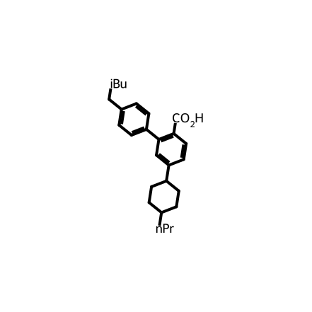 CCCC1CCC(c2ccc(C(=O)O)c(-c3ccc(CC(C)CC)cc3)c2)CC1